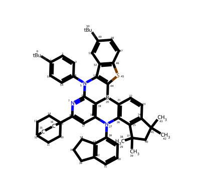 CC(C)(C)c1ccc(N2c3nc(C45CCC(CC4)CC5)cc4c3B(c3ccc5c(c3N4c3cccc4c3CCC4)C(C)(C)CC5(C)C)c3sc4ccc(C(C)(C)C)cc4c32)cc1